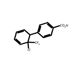 O=C(O)c1ccc(C2C=CC=CC2(Cl)C(F)(F)F)cc1